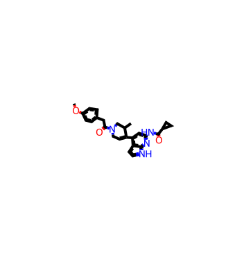 COc1ccc(CC(=O)N2CC=C(c3cc(NC(=O)C4CC4)nc4[nH]ccc34)C(C)C2)cc1